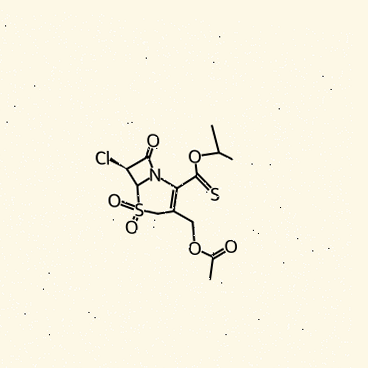 CC(=O)OCC1=C(C(=S)OC(C)C)N2C(=O)[C@H](Cl)C2S(=O)(=O)C1